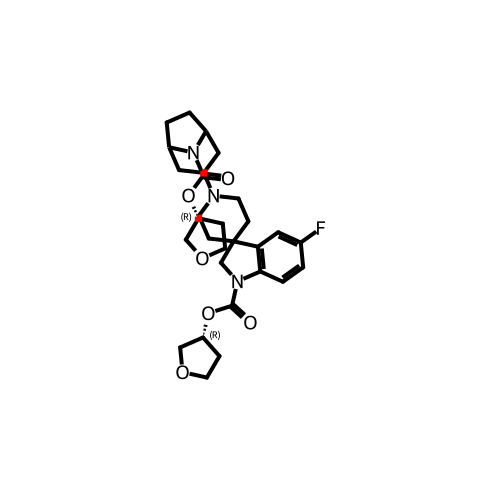 O=C(O[C@@H]1CCOC1)N1CC2(CCN(C3CC4CCC(C3)N4C(=O)O[C@@H]3CCOC3)CC2)c2cc(F)ccc21